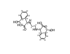 O=C(O)C(NCCNC(C(=O)O)c1ccccc1CO)c1ccccc1CO